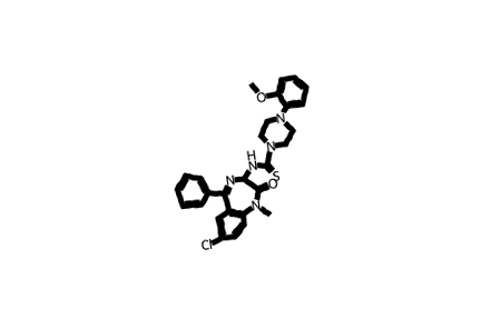 COc1ccccc1N1CCN(C(=S)NC2N=C(c3ccccc3)c3cc(Cl)ccc3N(C)C2=O)CC1